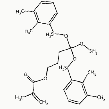 C=C(C)C(=O)OCCCC(O[SiH3])(O[SiH2]c1cccc(C)c1C)O[SiH2]c1cccc(C)c1C